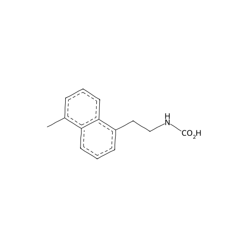 Cc1cccc2c(CCNC(=O)O)cccc12